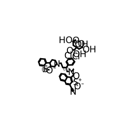 CN(C[C@@H](CCN1CCC(c2ccccc2[S@+](C)[O-])CC1)c1ccc(Cl)c(Cl)c1)C(=O)c1c([S+](C)[O-])c(C#N)cc2ccccc12.O=C(O)CC(O)(CC(=O)O)C(=O)O